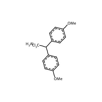 COc1ccc(C(c2ccc(OC)cc2)C(Cl)(Cl)Cl)cc1.[AlH3]